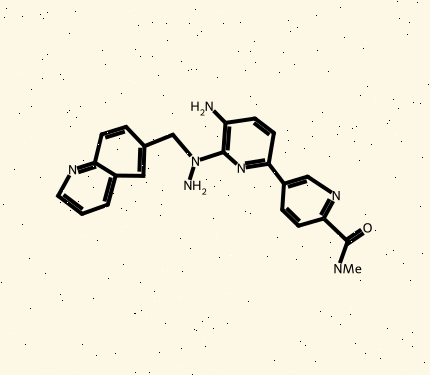 CNC(=O)c1ccc(-c2ccc(N)c(N(N)Cc3ccc4ncccc4c3)n2)cn1